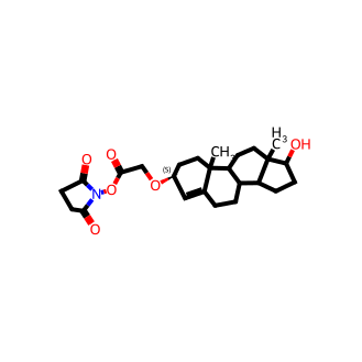 CC12CC[C@H](OCC(=O)ON3C(=O)CCC3=O)C=C1CCC1C2CCC2(C)C(O)CCC12